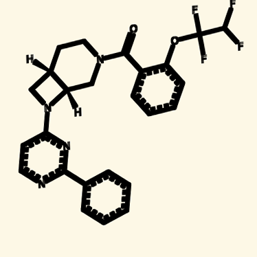 O=C(c1ccccc1OC(F)(F)C(F)F)N1CC[C@H]2CN(c3ccnc(-c4ccccc4)n3)[C@H]2C1